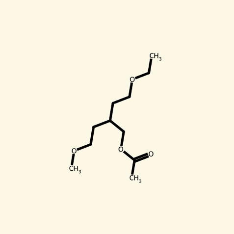 CCOCC[C](CCOC)COC(C)=O